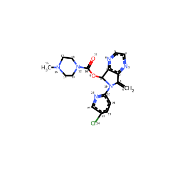 C=C1c2nccnc2C(OC(=O)N2CCN(C)CC2)N1c1ccc(Cl)cn1